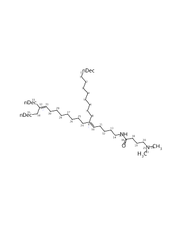 CCCCCCCCCCCCCCCCCC/C(=C\CCCCNC(=O)CCCN(C)C)CCCCCCC/C=C(/CCCCCCCCCC)CCCCCCCCCCC